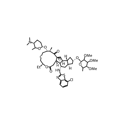 CC[C@H]1CCC[C@H](O[C@H]2CC[C@H](N(C)C)C(C)O2)[C@@H](C)C(=O)C2=C[C@H]3[C@@H]4C[C@H](O[C@@H]5OC(C)[C@H](OC)C(OC)C5OC)C[C@H]4C[C@H](Nc4nc5cccc(Cl)c5s4)[C@H]3[C@@H]2CC(=O)O1